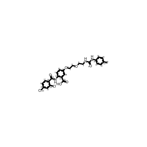 O=C(NCCOCCOc1ccc(NC(=O)c2ccc(Cl)cc2Cl)c(C(=O)O)c1)Nc1ccc(F)cc1